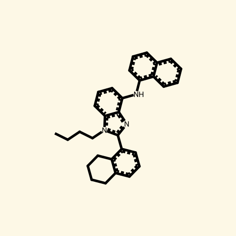 CCCCn1c(-c2cccc3c2CCCC3)nc2c(Nc3cccc4ccccc34)cccc21